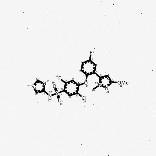 COc1cc(-c2cc(F)ccc2Oc2cc(F)c(S(=O)(=O)Nc3cscn3)cc2Cl)n(C)n1